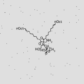 CCCCCCCCC=CCCCCCCCC(=O)C(CN)(C(=O)CCCCCCCC=CCCCCCCCC)N(C)CCO.COS(=O)(=O)O